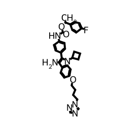 CC(OC(=O)Nc1ccc(-c2c(N)c3ccc(OCCCCn4cncn4)cc3n2C2CCC2)cc1)c1ccc(F)cc1